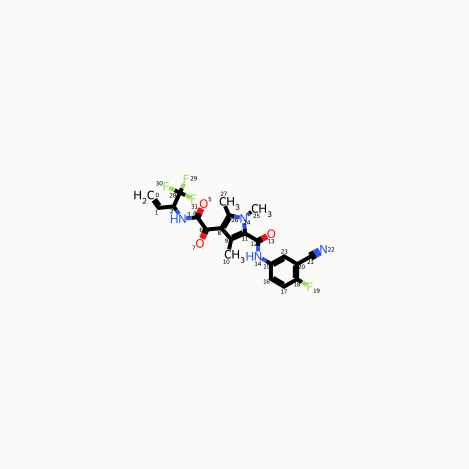 C=CC(NC(=O)C(=O)c1c(C)c(C(=O)Nc2ccc(F)c(C#N)c2)n(C)c1C)C(F)(F)F